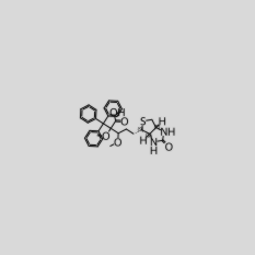 COC(CC[C@@H]1SC[C@@H]2NC(=O)N[C@@H]21)C(OC)(C(=O)O)C(c1ccccc1)(c1ccccc1)c1ccccc1